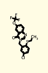 CCSc1ccc(Cl)cc1Cn1cnc2ccc(OC(F)(F)F)cc2c1=O